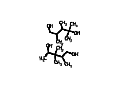 CC(CO)C(C)C(C)(C)O.CC(O)C(C)(C)C(C)CO